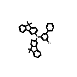 CC1(C)c2ccccc2-c2cc(N(c3cc(Cl)cc(-c4ccccc4)c3)c3ccc4c(c3)-c3ccccc3C4(C)C)ccc21